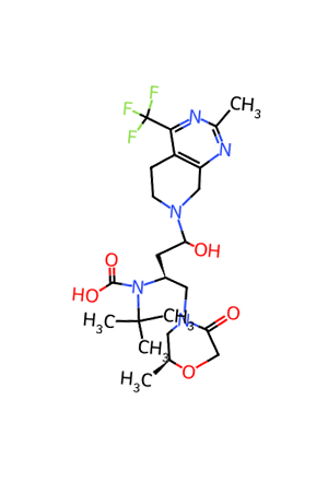 Cc1nc2c(c(C(F)(F)F)n1)CCN(C(O)C[C@@H](CN1C[C@H](C)OCC1=O)N(C(=O)O)C(C)(C)C)C2